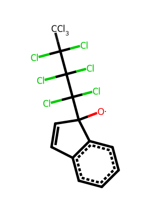 [O]C1(C(Cl)(Cl)C(Cl)(Cl)C(Cl)(Cl)C(Cl)(Cl)Cl)C=Cc2ccccc21